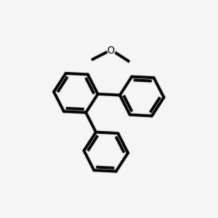 COC.c1ccc(-c2ccccc2-c2ccccc2)cc1